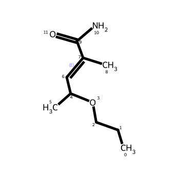 CCCOC(C)/C=C(\C)C(N)=O